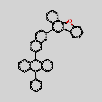 c1ccc(-c2c3ccccc3c(-c3ccc4ccc(-c5cc6c7ccccc7oc6c6ccccc56)cc4c3)c3ccccc23)cc1